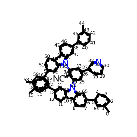 Cc1cccc(-c2ccc3c4ccc(-c5cccc(C)c5)cc4n(-c4cc(-c5cccnc5)cc(-n5c6cc(-c7cccc(C)c7)ccc6c6ccc(-c7cccc(C)c7)cc65)c4C#N)c3c2)c1